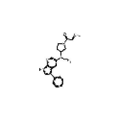 C=CC(=O)N1CCC(N(C)c2cnc3[nH]cc(-c4ccccc4)c3c2)C1